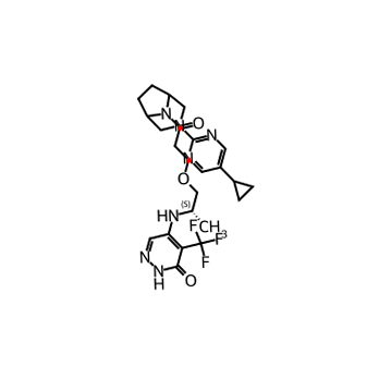 C[C@@H](COCCC(=O)N1C2CCC1CN(c1ncc(C3CC3)cn1)C2)Nc1cn[nH]c(=O)c1C(F)(F)F